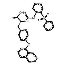 O=C(Nc1ccccc1S(=O)(=O)c1ccccc1)N[C@@H](Cc1ccc(Oc2nccc3ccncc23)cc1)C(=O)O